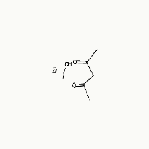 CC(=O)CC(C)=O.CO.[Zr]